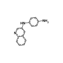 Nc1ccc(Nc2cnc3ccccc3c2)cc1